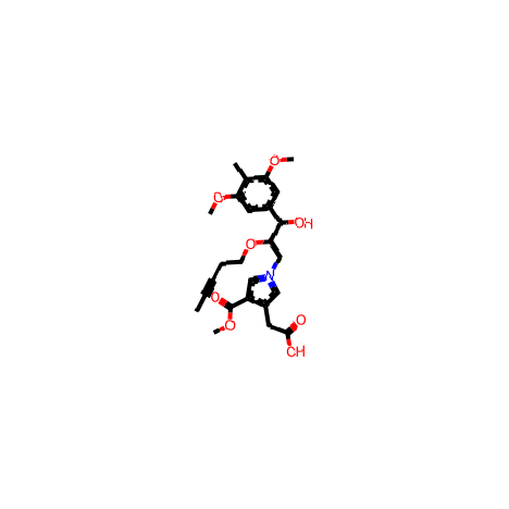 CC#CCCOC(Cn1cc(CC(=O)O)c(C(=O)OC)c1)C(O)c1cc(OC)c(C)c(OC)c1